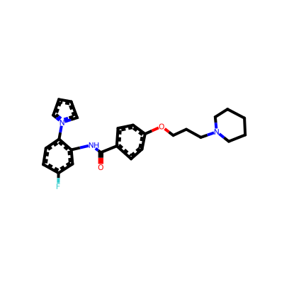 O=C(Nc1cc(F)ccc1-n1cccc1)c1ccc(OCCCN2CCCCC2)cc1